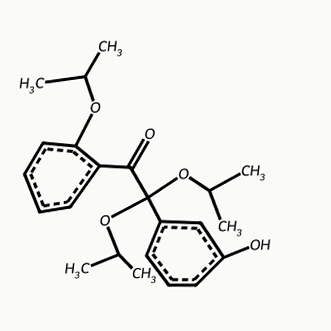 CC(C)Oc1ccccc1C(=O)C(OC(C)C)(OC(C)C)c1cccc(O)c1